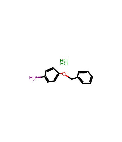 Cl.Cl.Pc1ccc(OCc2ccccc2)cc1